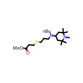 CCCCN(CCCSCCC(=O)OC)C1CC(C)(C)N(C)C(C)(C)C1